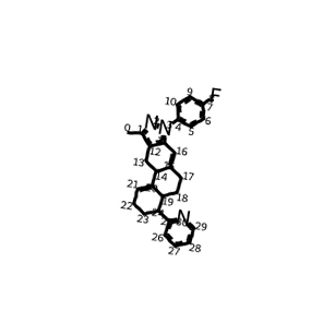 Cc1nn(-c2ccc(F)cc2)c2c1CC1C(=C2)CCC2C1=CCCC2c1ccccn1